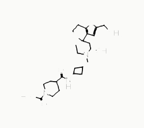 CCc1cc2c(s1)CCO[C@@]21CCN(C[C@H]2C[C@@H](NC(=O)C3CCN(C(C)=O)CC3)C2)[C@@H](C)C1